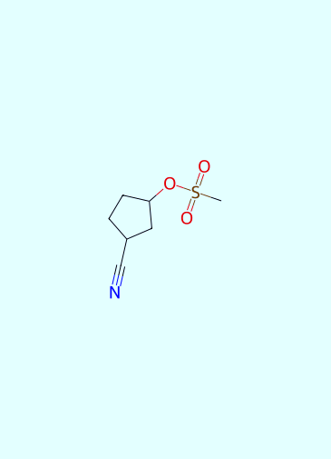 CS(=O)(=O)OC1CCC(C#N)C1